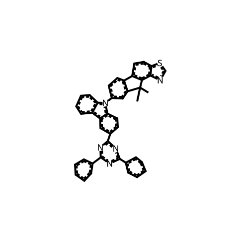 CC1(C)c2cc(-n3c4ccccc4c4cc(-c5nc(-c6ccccc6)nc(-c6ccccc6)n5)ccc43)ccc2-c2ccc3scnc3c21